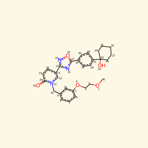 COCCOc1cccc(Cn2cc(-c3noc(-c4ccc(C5(O)CCCCC5)cc4)n3)ccc2=O)c1